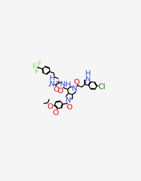 CNC(=O)[C@H](CCCc1ccc(C(F)(F)F)cc1)NC(=O)C1CN(C(=O)Cc2c[nH]c3cc(Cl)ccc23)CC2CN(C(=O)c3ccc(OC(C)C)c(OC)c3)CC21